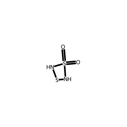 O=S1(=O)NSN1